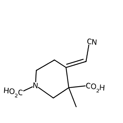 CC1(C(=O)O)CN(C(=O)O)CC/C1=C\C#N